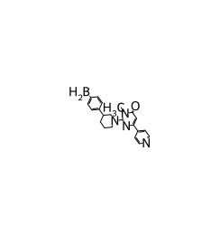 Bc1ccc(C2CCCN(c3nc(-c4ccncc4)cc(=O)n3C)C2)cc1